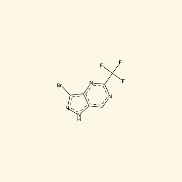 FC(F)(F)c1ncc2[nH]nc(Br)c2n1